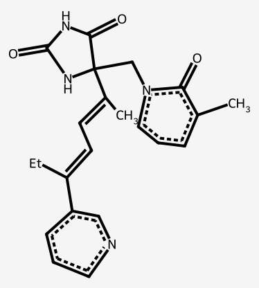 CC/C(=C\C=C(/C)C1(Cn2cccc(C)c2=O)NC(=O)NC1=O)c1cccnc1